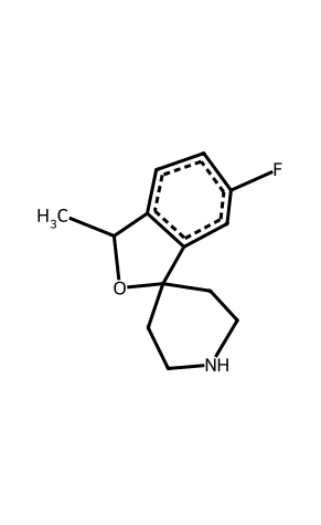 CC1OC2(CCNCC2)c2cc(F)ccc21